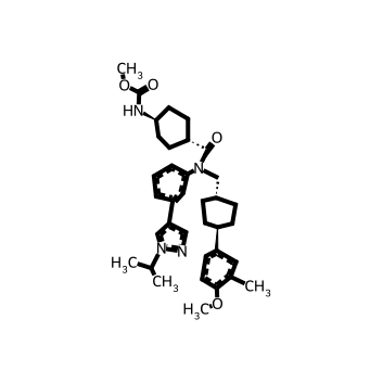 COC(=O)N[C@H]1CC[C@H](C(=O)N(C[C@H]2CC[C@H](c3ccc(OC)c(C)c3)CC2)c2cccc(-c3cnn(C(C)C)c3)c2)CC1